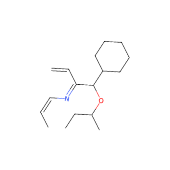 C=C/C(=N\C=C/C)C(OC(C)CC)C1CCCCC1